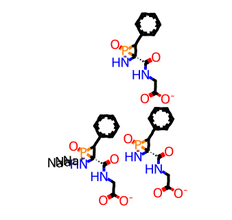 O=C([O-])CNC(=O)[C@]12NP1(=O)C2c1ccccc1.O=C([O-])CNC(=O)[C@]12NP1(=O)C2c1ccccc1.O=C([O-])CNC(=O)[C@]12NP1(=O)C2c1ccccc1.[Na+].[Na+].[Na+]